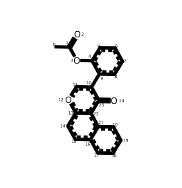 CC(=O)Oc1ccccc1-c1coc2ccc3ccccc3c2c1=O